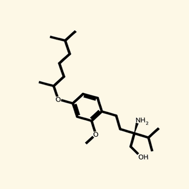 COc1cc(OC(C)CCCC(C)C)ccc1CC[C@@](N)(CO)C(C)C